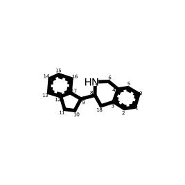 c1ccc2c(c1)CNC(C1CCc3ccccc31)C2